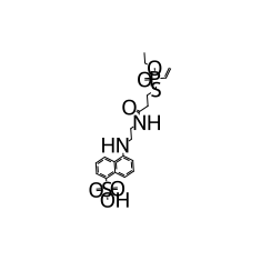 C=CP(=O)(OCC)SCCC(=O)NCCNc1cccc2c(S(=O)(=O)O)cccc12